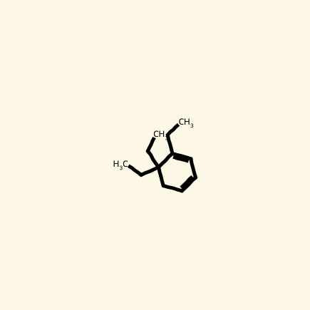 CCC1=CC=CCC1(CC)CC